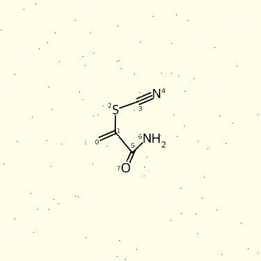 C=C(SC#N)C(N)=O